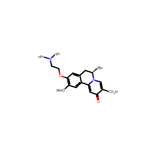 CCCN(CCC)CCOc1cc2c(cc1OC)-c1cc(=O)c(C(=O)O)cn1[C@H](C(C)(C)C)C2